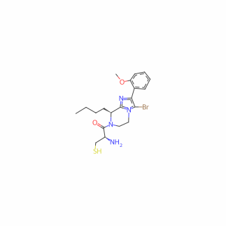 CCCC[C@H]1c2nc(-c3ccccc3OC)c(Br)n2CCN1C(=O)[C@@H](N)CS